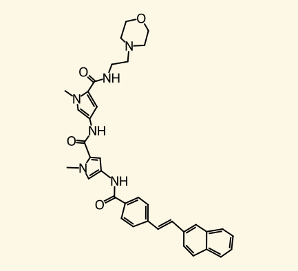 Cn1cc(NC(=O)c2cc(NC(=O)c3ccc(/C=C/c4ccc5ccccc5c4)cc3)cn2C)cc1C(=O)NCCN1CCOCC1